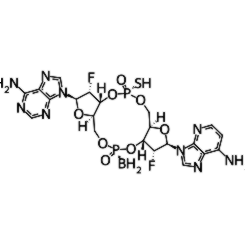 B[P@@]1(=O)OC[C@H]2O[C@@H](n3cnc4c(N)ncnc43)[C@H](F)[C@@H]2O[P@](=O)(S)OC[C@H]2O[C@@H](n3cnc4c(N)ccnc43)[C@H](F)[C@@H]2O1